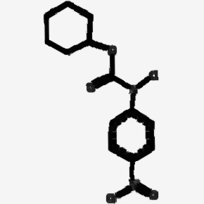 O=C(OC1CCCCC1)N(Cl)c1ccc([N+](=O)[O-])cc1